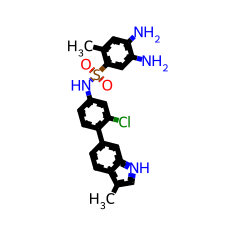 Cc1cc(N)c(N)cc1S(=O)(=O)Nc1ccc(-c2ccc3c(C)c[nH]c3c2)c(Cl)c1